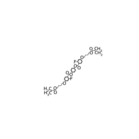 C=C(C)C(=O)OCCCCOc1ccc(C(=O)Oc2ccc(OC(=O)c3ccc(OCCCCOC(=O)C(=C)C)cc3F)cc2)c(F)c1